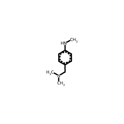 CNc1ccc(CN(C)C)cc1